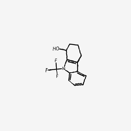 OC1CCCc2c1n(C(F)(F)F)c1ccccc21